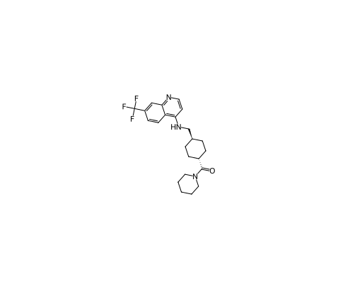 O=C([C@H]1CC[C@H](CNc2ccnc3cc(C(F)(F)F)ccc23)CC1)N1CCCCC1